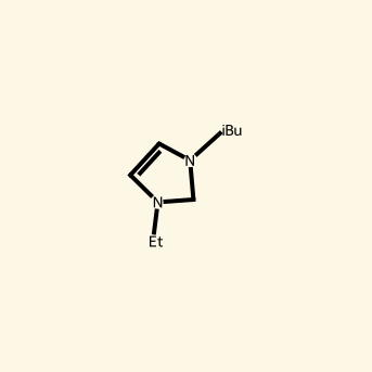 CCC(C)N1C=CN(CC)C1